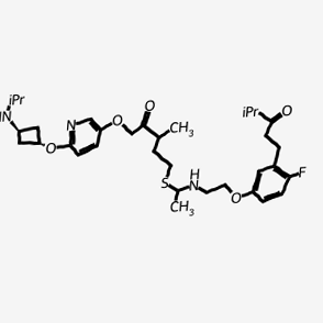 CC(C)N[C@H]1C[C@H](Oc2ccc(OCC(=O)C(C)CCSC(C)NCCOc3ccc(F)c(CCC(=O)C(C)C)c3)cn2)C1